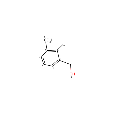 [CH2]c1c(CO)cccc1C(=O)O